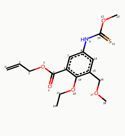 C=CCOC(=O)c1cc(NC(=S)OC)cc(COC)c1OCC